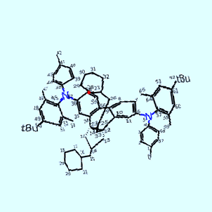 Cc1ccc(N(c2ccc3c(c2)[C@]24CC(CC5CCCCC5)C[C@]2(CC(CC2CCCCC2)C4)c2cc(N(c4ccc(C)cc4)c4c(C)cc(C(C)(C)C)cc4C)ccc2-3)c2c(C)cc(C(C)(C)C)cc2C)cc1